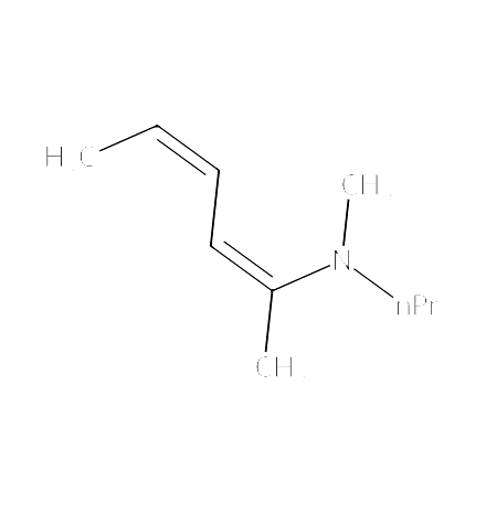 C/C=C\C=C(\C)N(C)CCC